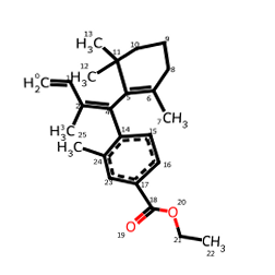 C=CC(C)=C(C1=C(C)CCCC1(C)C)c1ccc(C(=O)OCC)cc1C